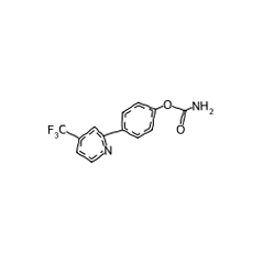 NC(=O)Oc1ccc(-c2cc(C(F)(F)F)ccn2)cc1